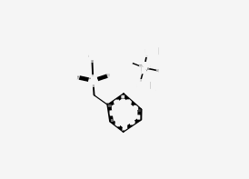 C[N+](C)(C)C.O=S(=O)([O-])Cc1ccccc1